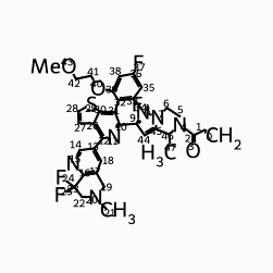 C=CC(=O)N1CCn2nc(-c3nc(-c4cnc5c(c4)CN(C)CC5(F)F)c4ccsc4c3-c3c(F)cc(F)cc3OCCOC)cc2C1C